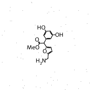 COC(=O)C(c1cc(O)cc(O)c1)c1ccc(CN)o1